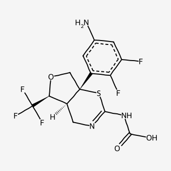 Nc1cc(F)c(F)c([C@]23CO[C@H](C(F)(F)F)[C@@H]2CN=C(NC(=O)O)S3)c1